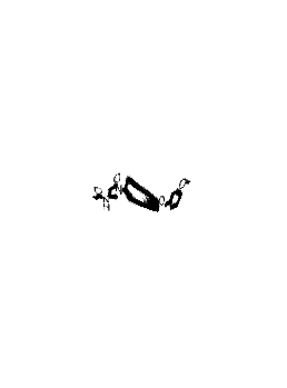 COc1cccc(COc2ccc(N3CC(NC(C)=O)CC3=O)cc2)c1